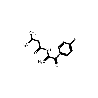 C=C(NC(=O)CC(C)C)C(=O)c1ccc(F)cc1